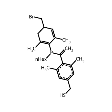 C=C(c1c(C)cc(CS)cc1C)P(CCCCCC)C1=C(C)CC(CBr)C=C1C